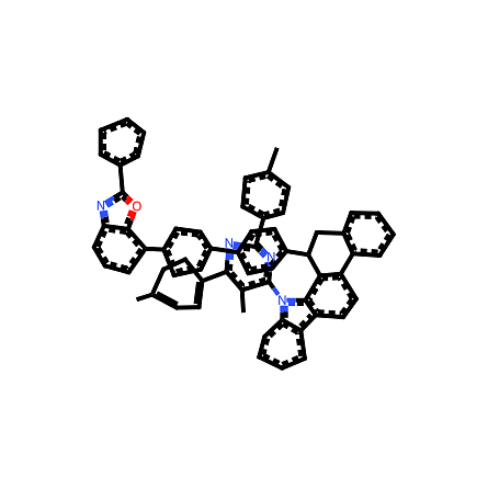 CC1=CC=C(c2nc(-c3ccc(C)cc3)nc(-n3c4ccccc4c4ccc5c(c43)C(c3ccc(-c4ccc(-c6cccc7nc(-c8ccccc8)oc67)cc4)cc3)Cc3ccccc3-5)c2C)CC1